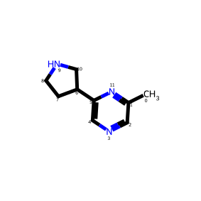 Cc1cncc(C2CCNC2)n1